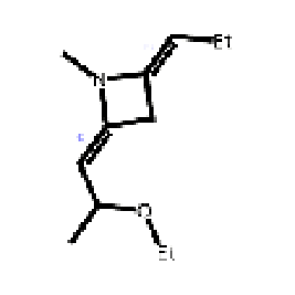 CC/C=C1\C/C(=C\C(C)OCC)N1C